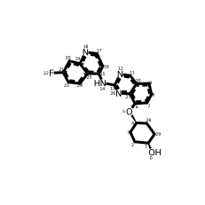 O[C@H]1CC[C@@H](Oc2cccc3cnc(Nc4ccnc5cc(F)ccc45)nc23)CC1